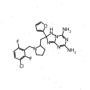 NC1=NC2=NC(CC3CCCN3Cc3c(F)ccc(Cl)c3F)(c3ccco3)NN2C(N)=N1